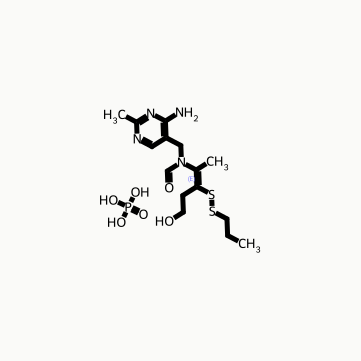 CCCSS/C(CCO)=C(\C)N(C=O)Cc1cnc(C)nc1N.O=P(O)(O)O